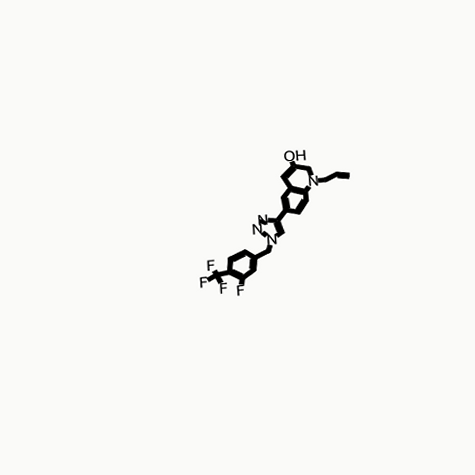 C=CCN1CC(O)=Cc2cc(-c3cn(Cc4ccc(C(F)(F)F)c(F)c4)nn3)ccc21